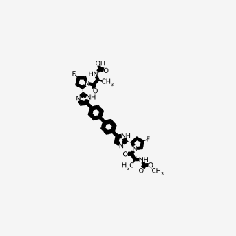 COC(=O)N[C@@H](C)C(=O)N1C[C@@H](F)C[C@H]1c1ncc(-c2ccc(-c3ccc(-c4cnc([C@@H]5C[C@H](F)CN5C(=O)[C@H](C)NC(=O)O)[nH]4)cc3)cc2)[nH]1